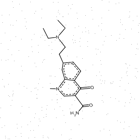 CCN(CC)CCc1ccc2c(=O)c(C(N)=O)cn(C)c2c1